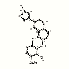 COc1ccc(Cl)c(Nc2ccc3ncc(-c4cnn(C)c4)nc3n2)c1Cl